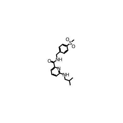 CC(C)CNc1cccc(C(=O)NCc2ccc(S(C)(=O)=O)cc2)n1